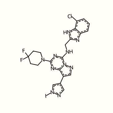 FC1(F)CCN(c2nc(NCc3nc4cccc(Cl)c4[nH]3)n3ncc(-c4cnn(I)c4)c3n2)CC1